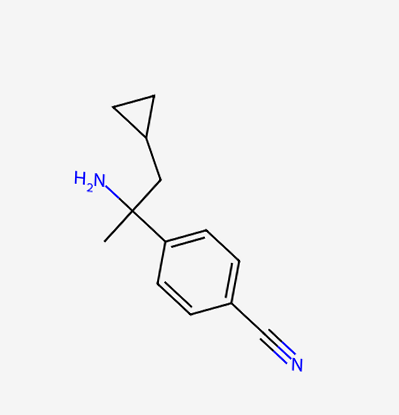 CC(N)(CC1CC1)c1ccc(C#N)cc1